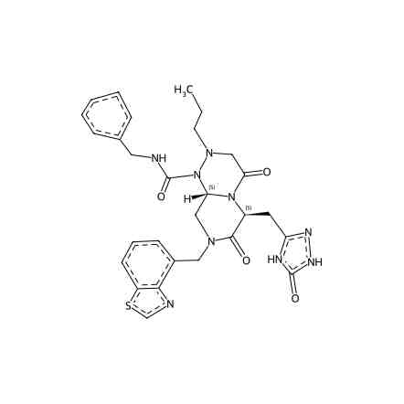 CCCN1CC(=O)N2[C@@H](Cc3n[nH]c(=O)[nH]3)C(=O)N(Cc3cccc4scnc34)C[C@@H]2N1C(=O)NCc1ccccc1